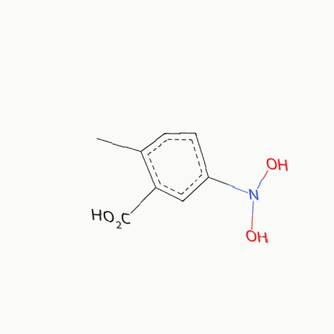 Cc1ccc(N(O)O)cc1C(=O)O